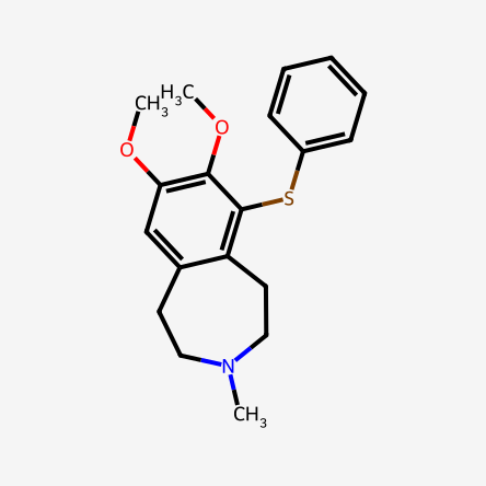 COc1cc2c(c(Sc3ccccc3)c1OC)CCN(C)CC2